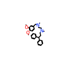 COc1ccc(CN(C)CCN(C)CCC(c2ccccc2)c2ccccc2)cc1OC